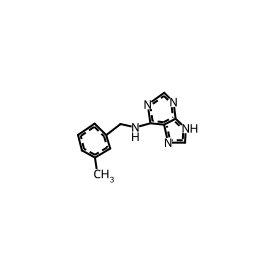 Cc1cccc(CNc2ncnc3[nH]cnc23)c1